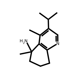 Cc1c(C(C)C)cnc2c1C(C)(N)CCC2